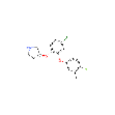 Cc1cc(Oc2cc(Cl)ccc2O[C@H]2CCNC2)ccc1F